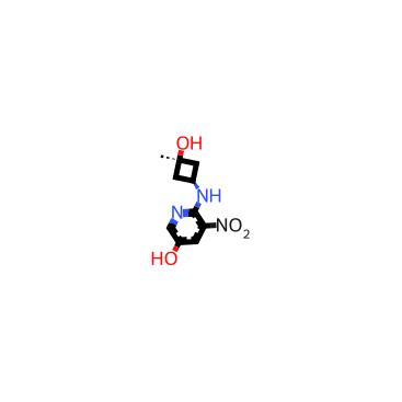 C[C@]1(O)C[C@@H](Nc2ncc(O)cc2[N+](=O)[O-])C1